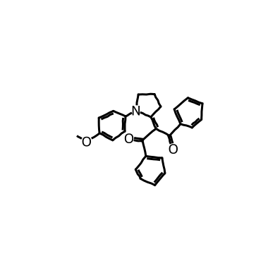 COc1ccc(N2CCCC2=C(C(=O)c2ccccc2)C(=O)c2ccccc2)cc1